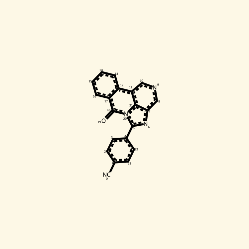 N#Cc1ccc(-c2nc3cncc4c5ccccc5c(=O)n2c34)cc1